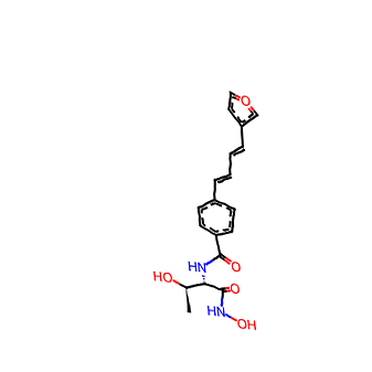 C[C@@H](O)[C@H](NC(=O)c1ccc(/C=C/C=C/c2ccoc2)cc1)C(=O)NO